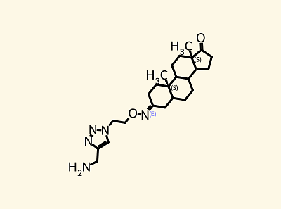 C[C@]12CC/C(=N\OCCn3cc(CN)nn3)CC1CCC1C2CC[C@]2(C)C(=O)CCC12